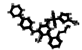 CC(C)CCc1ccccc1-c1nc(NS(=O)(=O)c2cnn(C)c2)nc(Oc2ccc(N3CCOCC3)cc2)c1C(F)(F)F